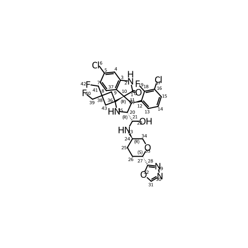 O=C1Nc2cc(Cl)ccc2[C@@]12[C@@H](c1cccc(Cl)c1F)[C@H](C(O)N[C@@H]1CC[C@@H](c3nnco3)OC1)NC21CC(CF)(CF)C1